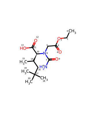 CCOC(=O)CN(C(N)=O)[C@H](C(=O)O)C(C)CC(C)(C)C